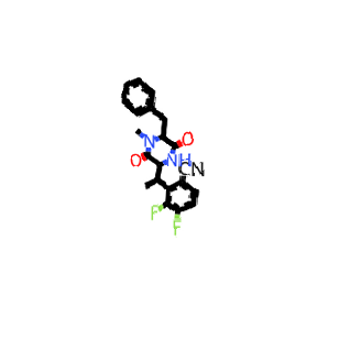 CC(c1c(C#N)ccc(F)c1F)C1NC(=O)C(Cc2ccccc2)N(C)C1=O